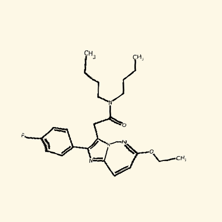 CCCCN(CCCC)C(=O)Cc1c(-c2ccc(F)cc2)nc2ccc(OCC)nn12